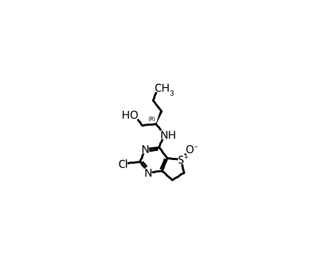 CCC[C@H](CO)Nc1nc(Cl)nc2c1[S+]([O-])CC2